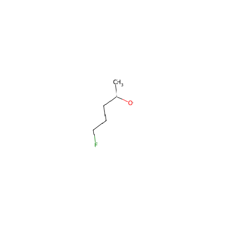 CC([O])CCCF